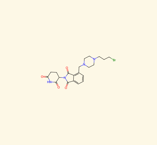 O=C1CCC(N2C(=O)c3cccc(CN4CCN(CCCBr)CC4)c3C2=O)C(=O)N1